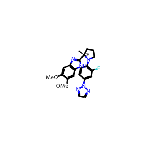 COc1cc2nc([C@]3(C)CCCN3c3ccc(-n4nccn4)[c]c3F)[nH]c2cc1OC